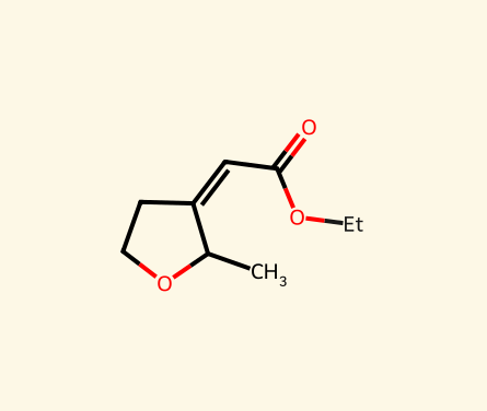 CCOC(=O)C=C1CCOC1C